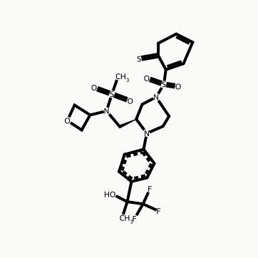 CC(O)(c1ccc(N2CCN(S(=O)(=O)C3=CC=CCC3=S)C[C@@H]2CN(C2COC2)S(C)(=O)=O)cc1)C(F)(F)F